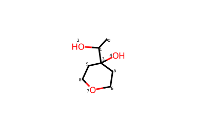 [CH2]C(O)C1(O)CCOCC1